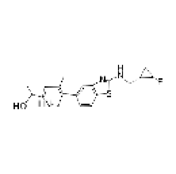 CC1=C(c2ccc3sc(NC[C@@H]4C[C@@H]4F)nc3c2)CNC(C(C)O)=C1